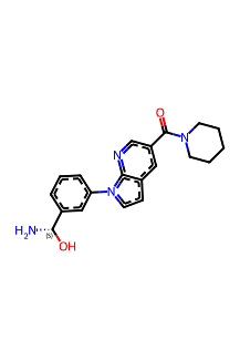 N[C@@H](O)c1cccc(-n2ccc3cc(C(=O)N4CCCCC4)cnc32)c1